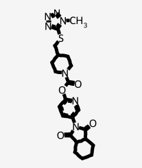 Cn1nnnc1SCC1CCN(C(=O)Oc2ccc(N3C(=O)C4CCCCC4C3=O)cn2)CC1